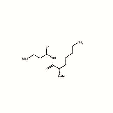 CN[C@@H](CCCCN)C(=O)N[C@@H](CCSC)C(C)=O